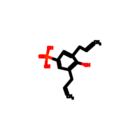 C=CCc1cc(P(=O)(O)O)cc(CC=C)c1O